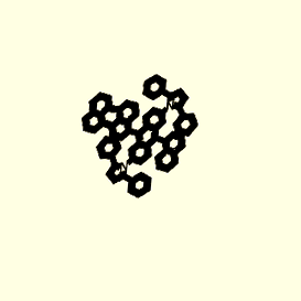 c1ccc(-c2ccc(-c3ccccc3)n2-c2ccc3c(-c4ccc5c6cccc7cccc(c8cccc4c85)c76)c4cc(-n5c(-c6ccccc6)ccc5-c5ccccc5)ccc4c(-c4cccc5ccccc45)c3c2)cc1